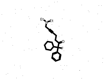 CCN(CC)CC#CCCC(=O)C(F)(c1ccccc1)C1CCCCC1